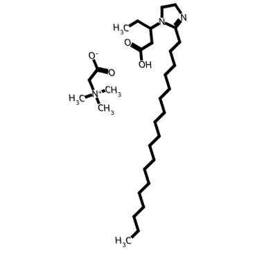 CCCCCCCCCCCCCCCCCCC1=NCCN1C(CC)CC(=O)O.C[N+](C)(C)CC(=O)[O-]